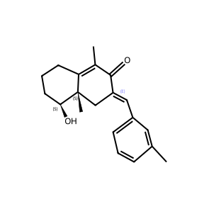 CC1=C2CCC[C@H](O)[C@@]2(C)C/C(=C\c2cccc(C)c2)C1=O